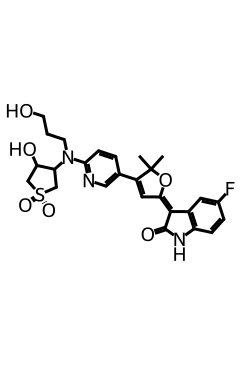 CC1(C)O/C(=C2/C(=O)Nc3ccc(F)cc32)C=C1c1ccc(N(CCCO)C2CS(=O)(=O)CC2O)nc1